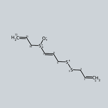 C=CCSSCC=C[S+]([O-])CC=C